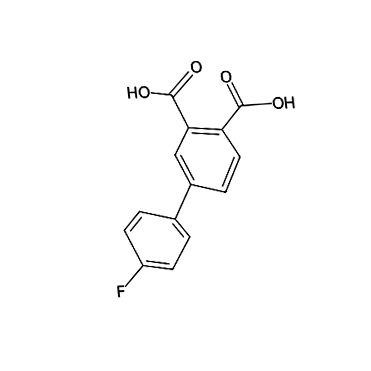 O=C(O)c1ccc(-c2ccc(F)cc2)cc1C(=O)O